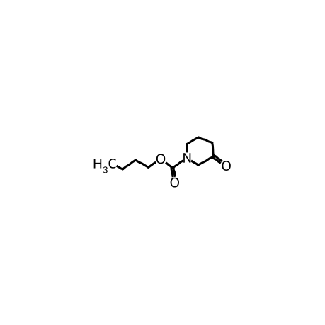 CCCCOC(=O)N1CCCC(=O)C1